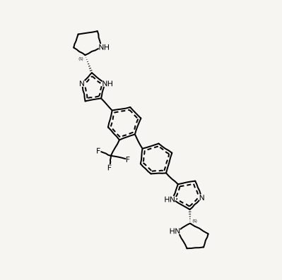 FC(F)(F)c1cc(-c2cnc([C@@H]3CCCN3)[nH]2)ccc1-c1ccc(-c2cnc([C@@H]3CCCN3)[nH]2)cc1